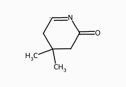 CC1(C)C[C]=NC(=O)C1